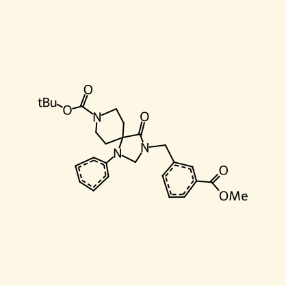 COC(=O)c1cccc(CN2CN(c3ccccc3)C3(CCN(C(=O)OC(C)(C)C)CC3)C2=O)c1